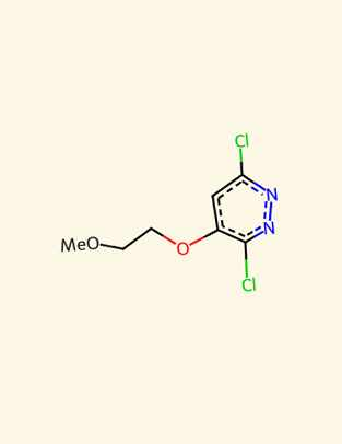 COCCOc1cc(Cl)nnc1Cl